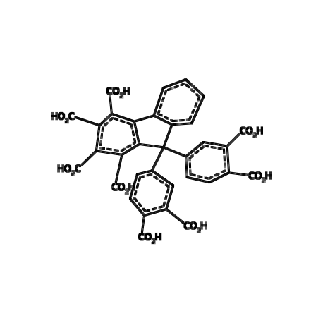 O=C(O)c1ccc(C2(c3ccc(C(=O)O)c(C(=O)O)c3)c3ccccc3-c3c(C(=O)O)c(C(=O)O)c(C(=O)O)c(C(=O)O)c32)cc1C(=O)O